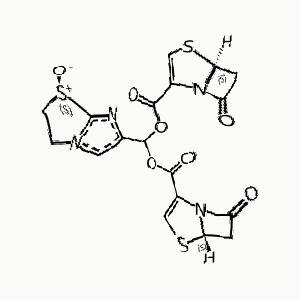 O=C(OC(OC(=O)C1=CS[C@H]2CC(=O)N12)c1cn2c(n1)[S@+]([O-])CC2)C1=CS[C@H]2CC(=O)N12